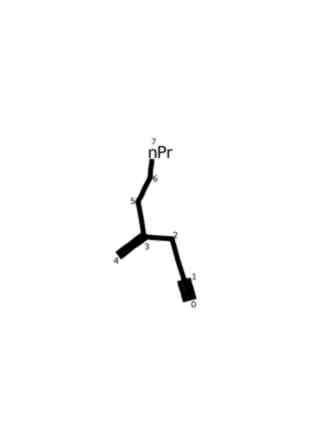 C#CCC(=C)CCCCC